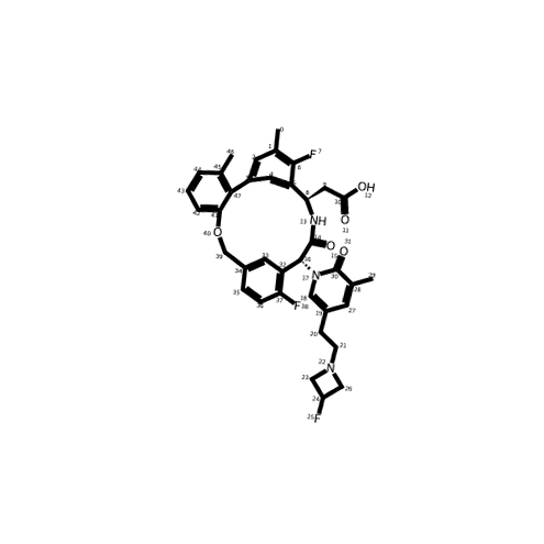 Cc1cc2cc(c1F)[C@@H](CC(=O)O)NC(=O)[C@H](n1cc(CCN3CC(F)C3)cc(C)c1=O)c1cc(ccc1F)COc1cccc(C)c1-2